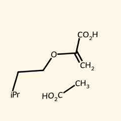 C=C(OCCC(C)C)C(=O)O.CC(=O)O